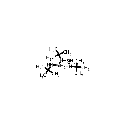 CC(C)(C)N[SiH2]N([SiH2]NC(C)(C)C)C(C)(C)C